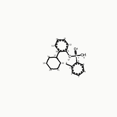 Cc1ccccc1P(=O)(O)Oc1ccccc1C1CCCCC1